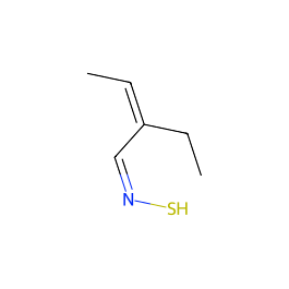 C/C=C(\C=N/S)CC